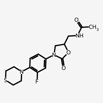 CC(=O)NCC1CN(c2ccc(N3CCSCC3)c(F)c2)C(=O)O1